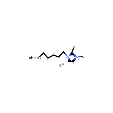 CCCCCCCCCCCC[n+]1ccn(C)c1C.[Br-]